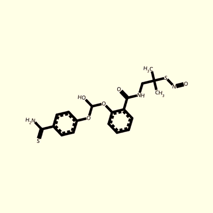 CC(C)(CNC(=O)c1ccccc1OC(O)Oc1ccc(C(N)=S)cc1)SN=O